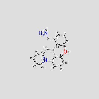 NCc1cccc(Oc2ccccc2)c1CCc1ccccn1